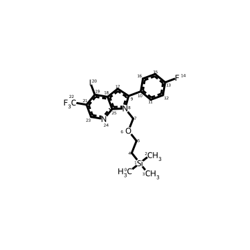 C[Si](C)(C)CCOCn1c(-c2ccc(F)cc2)cc2c(I)c(C(F)(F)F)cnc21